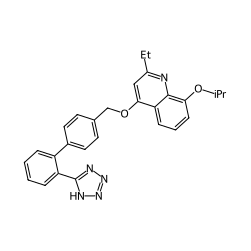 CCc1cc(OCc2ccc(-c3ccccc3-c3nnn[nH]3)cc2)c2cccc(OC(C)C)c2n1